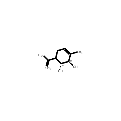 C=C(C)C1CC=C(C)[C@@H](O)[C@@H]1O